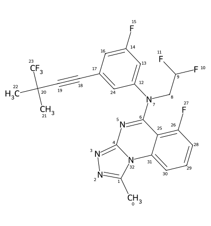 Cc1nnc2nc(N(CC(F)F)c3cc(F)cc(C#CC(C)(C)C(F)(F)F)c3)c3c(F)cccc3n12